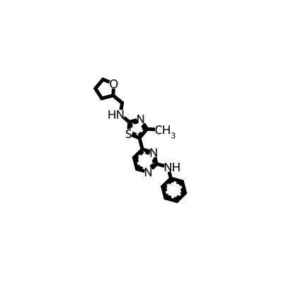 Cc1nc(NCC2CCCO2)sc1-c1ccnc(Nc2ccccc2)n1